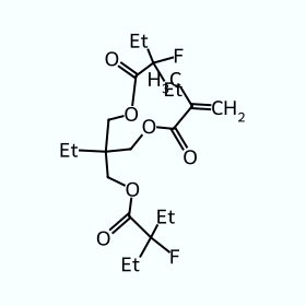 C=C(C)C(=O)OCC(CC)(COC(=O)C(F)(CC)CC)COC(=O)C(F)(CC)CC